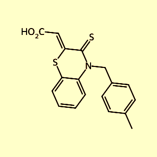 Cc1ccc(CN2C(=S)C(=CC(=O)O)Sc3ccccc32)cc1